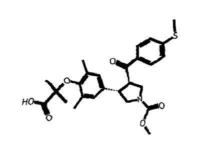 COC(=O)N1C[C@H](C(=O)c2ccc(SC)cc2)[C@@H](c2cc(C)c(OC(C)(C)C(=O)O)c(C)c2)C1